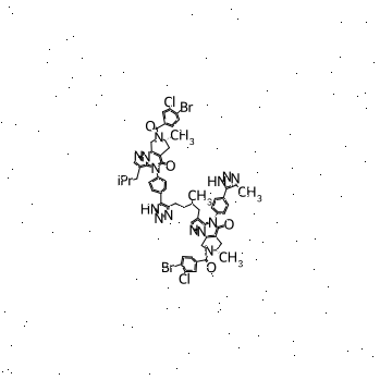 Cc1nn[nH]c1-c1ccc(-n2c(=O)c3c(n4ncc(CC(C)CCc5nn[nH]c5-c5ccc(-n6c(=O)c7c(n8ncc(CC(C)C)c68)CN(C(=O)c6ccc(Br)c(Cl)c6)[C@H](C)C7)cc5)c24)CN(C(=O)c2ccc(Br)c(Cl)c2)[C@@H](C)C3)cc1